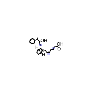 CC(c1ccccc1)C(O)/C=C/[C@@H]1[C@H](C/C=C\C/C=C/C(=O)O)[C@@H]2CC[C@H]1O2